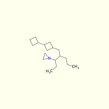 CCCC(CC1CC(C2CCC2)C1)C(CC)N1CC1